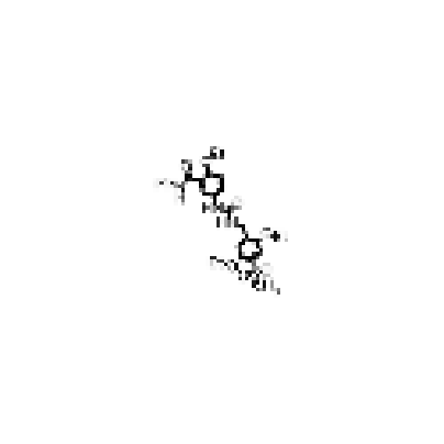 CCOc1cc(S(C)(=O)=O)c(OCC)cc1CNC(=O)Nc1ccc(OCC)c(C(=O)NC(C)C)c1